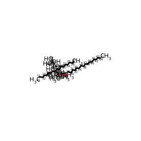 CC.CC.CC.CC.CC.CCCCCCCCCCCCCCCCCC.CCCCCCCCCCCCCCCCCC.OP(O)O.OP(O)O